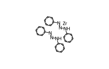 [Zr].c1ccc(N=NNc2ccccc2)cc1.c1ccc(N=NNc2ccccc2)cc1